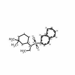 CCN(C1CCCC(C)(C)C1)S(=O)(=O)c1ccc2ccccc2c1